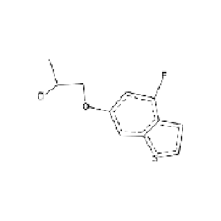 CC(Cl)COc1cc(F)c2ccsc2c1